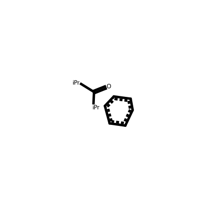 CC(C)C(=O)C(C)C.c1ccccc1